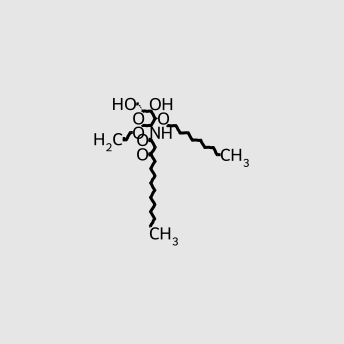 C=CCO[C@H]1O[C@H](CO)[C@@H](O)[C@H](OCCCCCCCCCC)[C@@H]1NC(=O)CC(=O)CCCCCCCCCCC